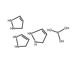 C1=CNNC1.C1=CNNC1.C1=CNNC1.OB(O)O